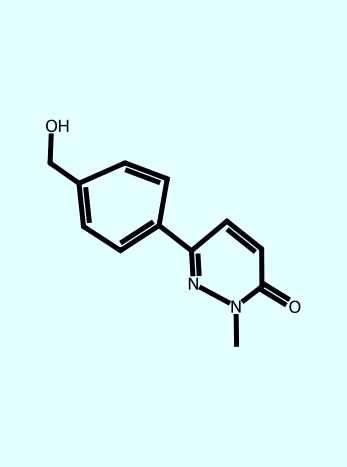 Cn1nc(-c2ccc(CO)cc2)ccc1=O